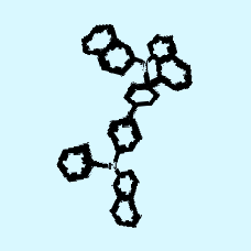 C1=CC(c2ccccc2)(N(c2ccccc2)c2ccc3ccccc3c2)CC=C1c1ccc(N(c2ccccc2)c2ccc3ccccc3c2)cc1